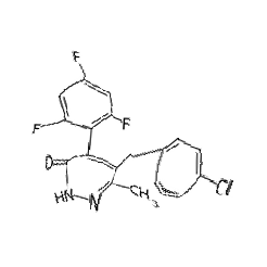 Cc1n[nH]c(=O)c(-c2c(F)cc(F)cc2F)c1Cc1ccc(Cl)cc1